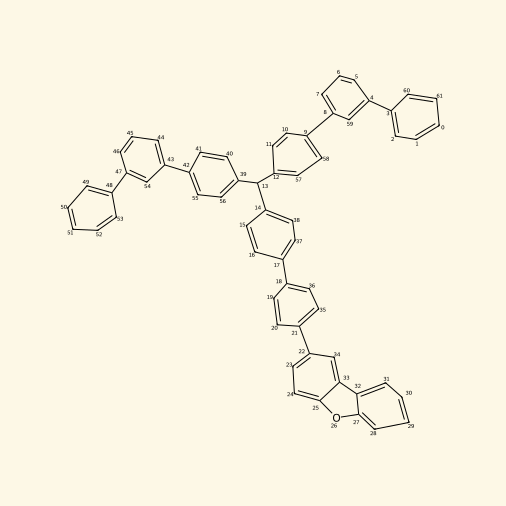 c1ccc(-c2cccc(-c3ccc(C(c4ccc(-c5ccc(-c6ccc7oc8ccccc8c7c6)cc5)cc4)c4ccc(-c5cccc(-c6ccccc6)c5)cc4)cc3)c2)cc1